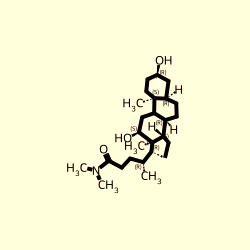 C[C@H](CCC(=O)N(C)C)[C@H]1CC[C@H]2[C@@H]3CC[C@@H]4C[C@H](O)CC[C@]4(C)C3C[C@H](O)[C@]12C